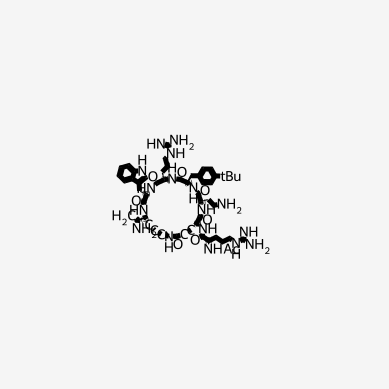 C=C(N)[C@@H]1CCCNC(=O)CC[C@H](NC(=O)[C@H](CCCNC(=N)N)NC(C)=O)C(=O)N[C@@H](CCN)C(=O)N[C@H](Cc2ccc(C(C)(C)C)cc2)C(=O)N[C@@H](CCCNC(=N)N)C(=O)N[C@@H](Cc2c[nH]c3ccccc23)C(=O)N1